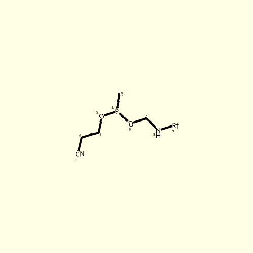 CP(OCCC#N)OC[NH][Rf]